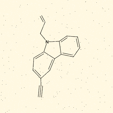 C#Cc1ccc2c(c1)c1ccccc1n2CC=C